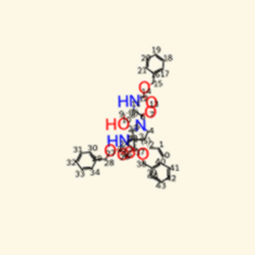 C=CC[C@H]1CN(C(=O)[C@H](CO)NC(=O)OCc2ccccc2)C[C@@]1(NC(=O)OCc1ccccc1)C(=O)OCc1ccccc1